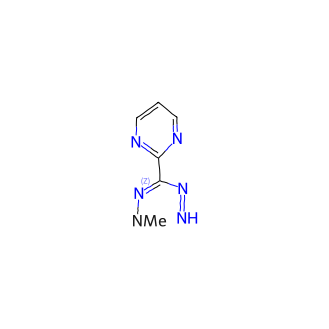 CN/N=C(\N=N)c1ncccn1